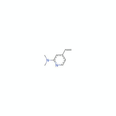 C=Cc1ccnc(N(C)C)c1